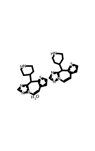 C1=Cn2ncnc2C(C2CCNCC2)c2sccc21.C1=Cn2ncnc2C(C2CCNCC2)c2sccc21.O